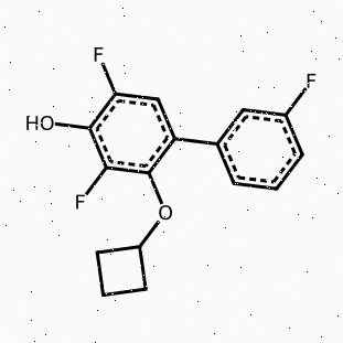 Oc1c(F)cc(-c2cccc(F)c2)c(OC2CCC2)c1F